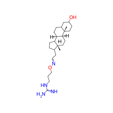 C[C@]12CCC(O)CC1CC[C@@H]1[C@H]2CC[C@]2(C)C(CC=NOCCCNC(=N)N)CC[C@@H]12